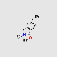 CC(C)Cc1ccc2c(c1)CN(C1(C(C)C)CC1)C2=O